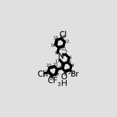 OC1=C(Br)CC2CCN(CC3=CCC(Cl)C=C3)CC2=C1c1ccc(Cl)c(C(F)(F)F)c1